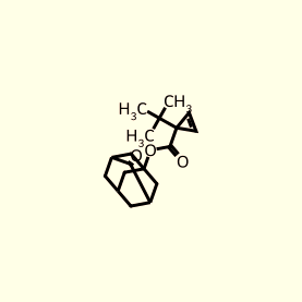 CC(C)(C)C1(C(=O)OC23CC4CC(C2)C(=O)C(C4)C3)C=C1